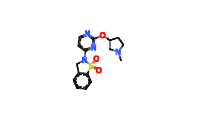 CN1CCC(Oc2nccc(N3Cc4ccccc4S3(=O)=O)n2)C1